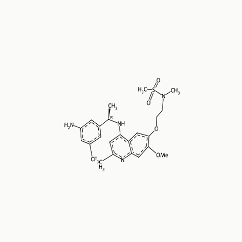 COc1cc2nc(C)cc(N[C@H](C)c3cc(N)cc(C(F)(F)F)c3)c2cc1OCCN(C)S(C)(=O)=O